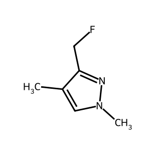 Cc1cn(C)nc1CF